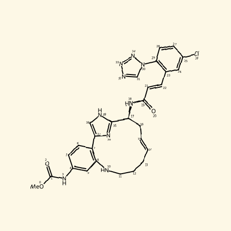 COC(=O)Nc1ccc2c(c1)NCCC/C=C/C[C@H](NC(=O)/C=C/c1cc(Cl)ccc1-n1cnnn1)c1nc-2c[nH]1